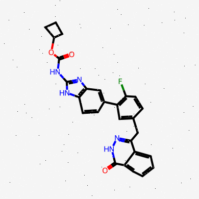 O=C(Nc1nc2cc(-c3cc(Cc4n[nH]c(=O)c5ccccc45)ccc3F)ccc2[nH]1)OC1CCC1